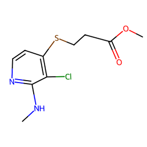 CNc1nccc(SCCC(=O)OC)c1Cl